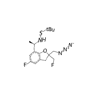 C[C@@H](NSC(C)(C)C)c1cc(F)cc2c1OC(CF)(CN=[N+]=[N-])C2